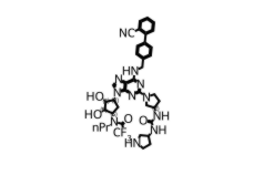 CCCN(C(=O)C(F)(F)F)[C@H]1C[C@@H](n2cnc3c(NCc4ccc(-c5ccccc5C#N)cc4)nc(N4CC[C@@H](NC(=O)NC5CCNC5)C4)nc32)[C@H](O)[C@@H]1O